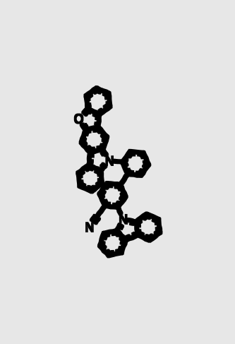 N#Cc1ccc(-c2ccccc2-n2c3ccccc3c3cc4oc5ccccc5c4cc32)cc1-n1c2ccccc2c2ccccc21